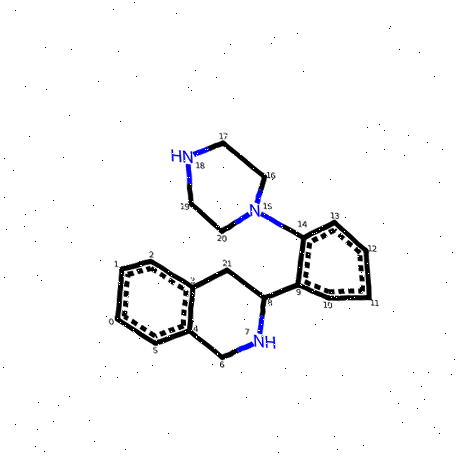 c1ccc2c(c1)CNC(c1ccccc1N1CCNCC1)C2